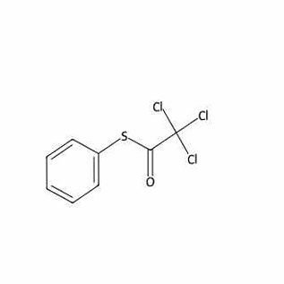 O=C(Sc1ccccc1)C(Cl)(Cl)Cl